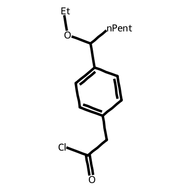 CCCCCC(OCC)c1ccc(CC(=O)Cl)cc1